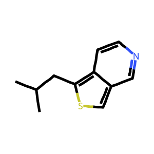 CC(C)Cc1scc2cnccc12